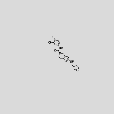 O=C(Nc1ccc(F)c(Cl)c1)N1CCc2nc(NCC3CCOC3)sc2C1